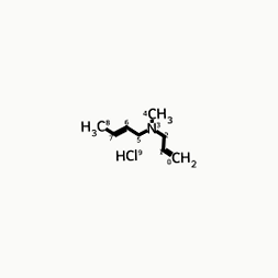 C=CCN(C)CC=CC.Cl